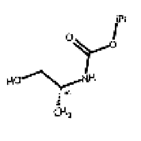 CC(C)OC(=O)N[C@H](C)CO